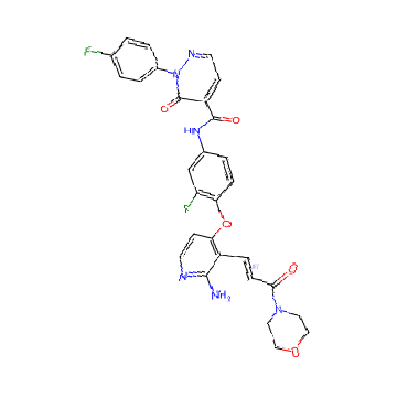 Nc1nccc(Oc2ccc(NC(=O)c3ccnn(-c4ccc(F)cc4)c3=O)cc2F)c1/C=C/C(=O)N1CCOCC1